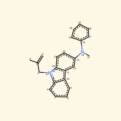 C=C(C)Cn1c2ccccc2c2cc(N(C)c3ccccc3)ccc21